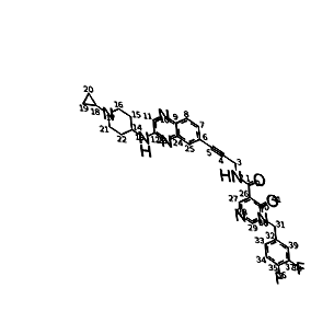 O=C(NCC#Cc1ccc2ncc(NC3CCN(C4CC4)CC3)nc2c1)c1cncn(Cc2ccc(F)c(F)c2)c1=O